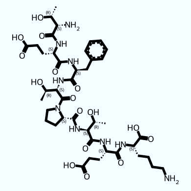 C[C@@H](O)[C@H](N)C(=O)N[C@@H](CCC(=O)O)C(=O)N[C@@H](Cc1ccccc1)C(=O)N[C@H](C(=O)N1CCC[C@H]1C(=O)N[C@H](C(=O)N[C@@H](CCC(=O)O)C(=O)N[C@@H](CCCCN)C(=O)O)[C@@H](C)O)[C@@H](C)O